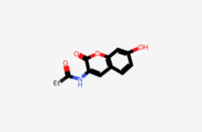 CCC(=O)Nc1cc2ccc(O)cc2oc1=O